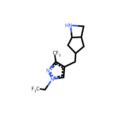 FC(F)(F)Cn1cc(CC2CC3CNC3C2)c(C(F)(F)F)n1